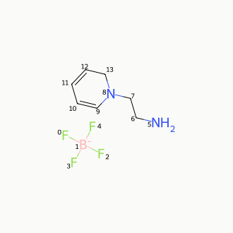 F[B-](F)(F)F.NCCN1C=CC=CC1